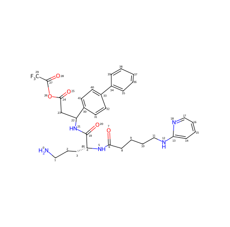 NCCC[C@@H](NC(=O)CCCCNc1ccccn1)C(=O)NC(CC(=O)OC(=O)C(F)(F)F)c1ccc(-c2ccccc2)cc1